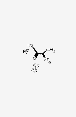 C=C(C)C(=O)O.O.O.O.[Nd]